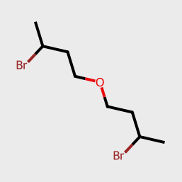 CC(Br)CCOCCC(C)Br